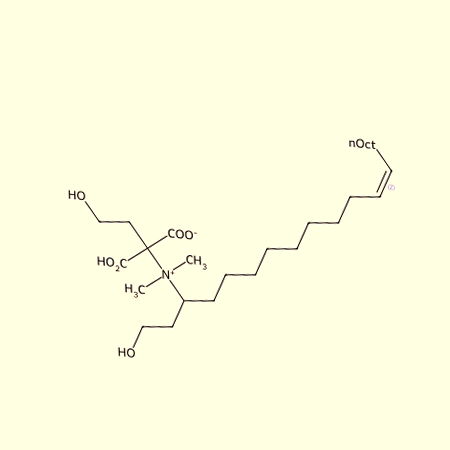 CCCCCCCC/C=C\CCCCCCCCC(CCO)[N+](C)(C)C(CCO)(C(=O)[O-])C(=O)O